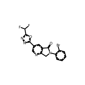 O=C1c2cc(-c3nnc(C(F)F)o3)cnc2CN1c1ccccc1Br